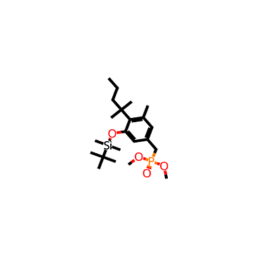 CCCC(C)(C)c1c(C)cc(CP(=O)(OC)OC)cc1O[Si](C)(C)C(C)(C)C